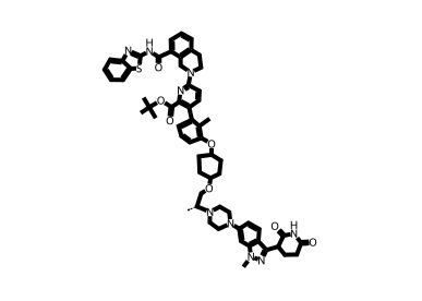 Cc1c(OC2CCC(OC[C@@H](C)N3CCN(c4ccc5c(C6CCC(=O)NC6=O)nn(C)c5c4)CC3)CC2)cccc1-c1ccc(N2CCc3cccc(C(=O)Nc4nc5ccccc5s4)c3C2)nc1C(=O)OC(C)(C)C